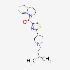 CC(C)CCN1CCC(c2nc(C(=O)N3CCCC4CCCC=C43)cs2)CC1